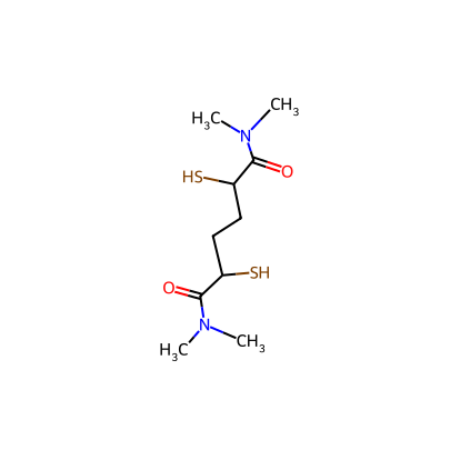 CN(C)C(=O)C(S)CCC(S)C(=O)N(C)C